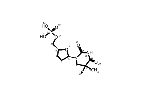 CC1(F)CN([C@H]2CC[C@@H](COP(=O)(O)O)O2)C(=O)NC1=O